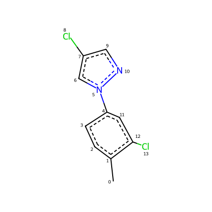 Cc1ccc(-n2cc(Cl)cn2)cc1Cl